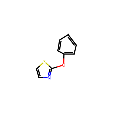 [c]1ccc(Oc2nccs2)cc1